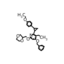 CCOc1ccc(C2CC2c2nc(OCC3COCCO3)cc(OCc3ccccc3)c2CC)cc1